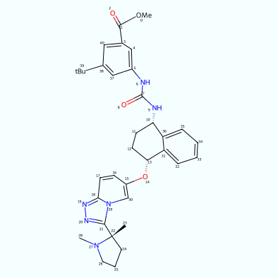 COC(=O)c1cc(NC(=O)N[C@H]2CC[C@@H](Oc3ccc4nnc([C@]5(C)CCCN5C)n4c3)c3ccccc32)cc(C(C)(C)C)c1